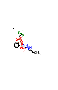 CCCCNC(=O)NS(=O)(=O)c1ccccc1S(=O)(=O)OCC(F)(F)F